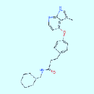 Cc1c[nH]c2nccc(Oc3ccc(CCC(=O)NCC4CCCCC4)cc3)c12